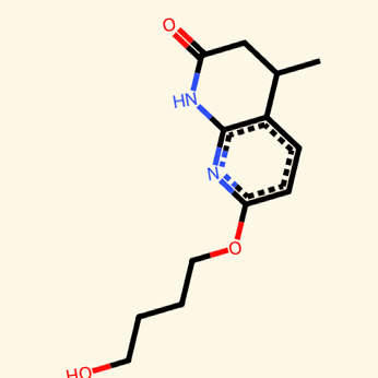 CC1CC(=O)Nc2nc(OCCCCO)ccc21